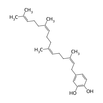 CC(C)=CCCC(C)=CCCC(C)=CCCC(C)=CCc1ccc(O)c(O)c1